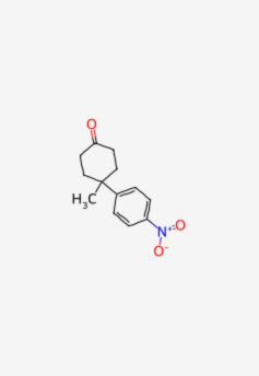 CC1(c2ccc([N+](=O)[O-])cc2)CCC(=O)CC1